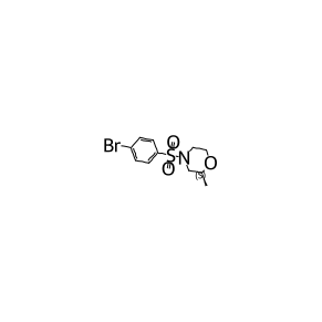 C[C@H]1CN(S(=O)(=O)c2ccc(Br)cc2)CCO1